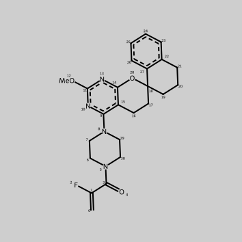 C=C(F)C(=O)N1CCN(c2nc(OC)nc3c2CCC2(CCCc4ccccc42)O3)CC1